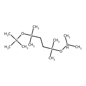 C[SiH](C)O[Si](C)(C)CC[Si](C)(C)O[Si](C)(C)C